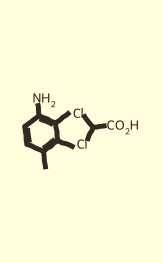 Cc1ccc(N)c(C)c1C.O=C(O)C(Cl)Cl